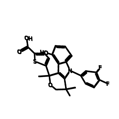 CC1(C)COC(C)(c2ccc(C(=O)O)s2)c2c1n(-c1ccc(F)c(F)c1)c1cccc(O)c21